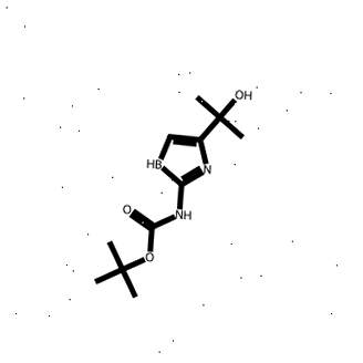 CC(C)(C)OC(=O)NC1=NC(C(C)(C)O)=CB1